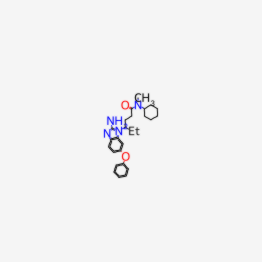 CCC(CCC(=O)N(C)C1CCCCC1)n1c(N)nc2ccc(Oc3ccccc3)cc21